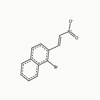 O=[N+]([O-])/C=C/c1ccc2ccccc2c1Br